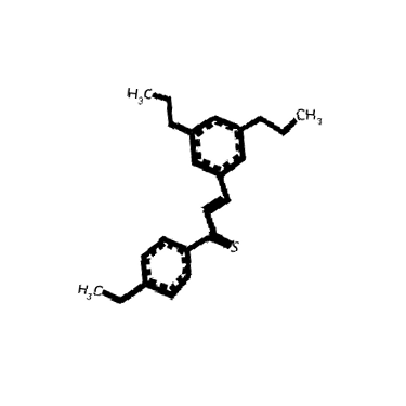 CCCc1cc(C=CC(=S)c2ccc(CC)cc2)cc(CCC)c1